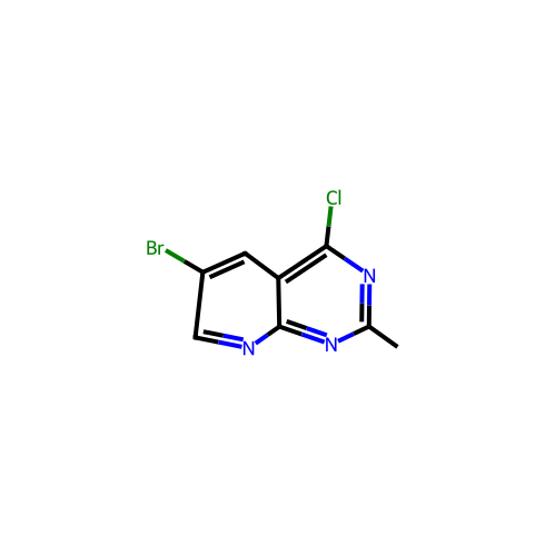 Cc1nc(Cl)c2cc(Br)cnc2n1